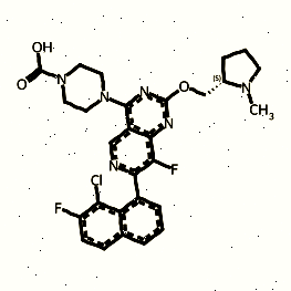 CN1CCC[C@H]1COc1nc(N2CCN(C(=O)O)CC2)c2cnc(-c3cccc4ccc(F)c(Cl)c34)c(F)c2n1